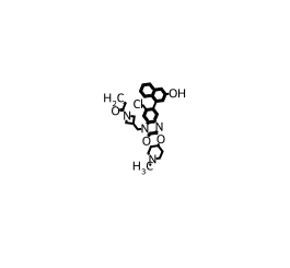 C=CC(=O)N1CC(Cn2c(=O)c(OC3CCN(C)CC3)nc3cc(-c4cc(O)cc5ccccc45)c(Cl)cc32)C1